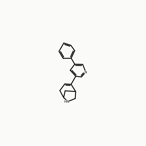 C1=C(c2cncc(-c3ccccc3)c2)C2CNC(C1)C2